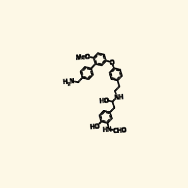 COc1ccc(Oc2ccc(CCNC(O)Cc3ccc(O)c(NC=O)c3)cc2)cc1-c1ccc(CN)cc1